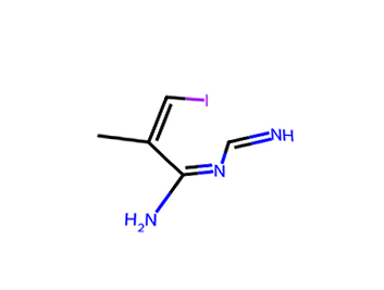 CC(=C/I)/C(N)=N\C=N